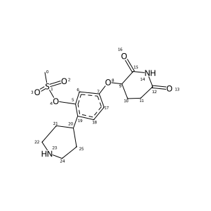 CS(=O)(=O)Oc1cc(OC2CCC(=O)NC2=O)ccc1C1CCNCC1